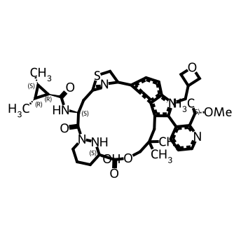 CO[C@@H](C)c1ncccc1-c1c2c3cc(ccc3n1CC1COC1)C1CSC(=N1)C[C@H](NC(=O)[C@H]1[C@H](C)[C@@H]1C)C(=O)N1CCC[C@@](O)(N1)C(=O)OCC(C)(C)C2